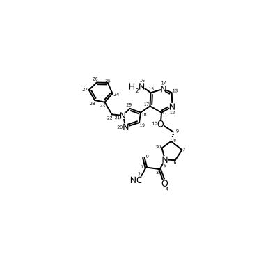 C=C(C#N)C(=O)N1CC[C@@H](COc2ncnc(N)c2-c2cnn(Cc3ccccc3)c2)C1